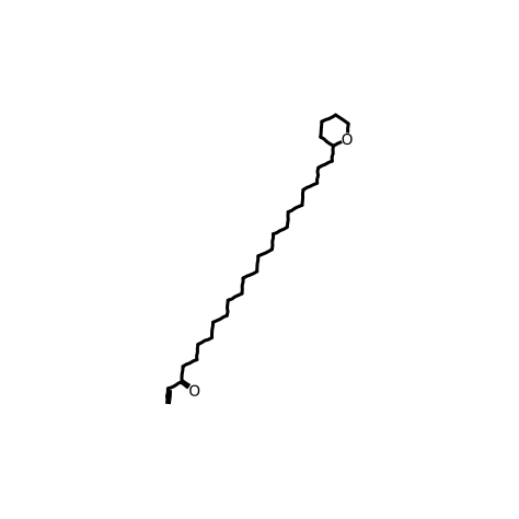 C=CC(=O)CCCCCCCCCCCCCCCCCCCCC1CCCCO1